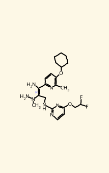 Cc1nc(/C(N)=C(\CNc2nccc(OCC(F)F)n2)N(C)N)ccc1OC1CCCCC1